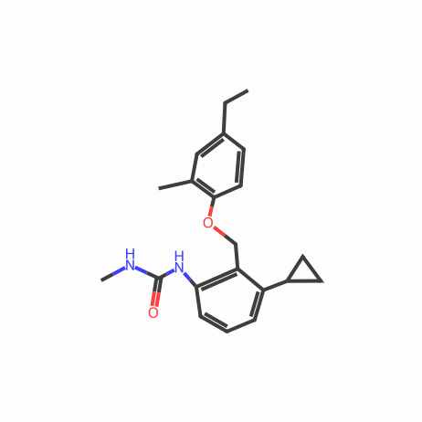 CCc1ccc(OCc2c(NC(=O)NC)cccc2C2CC2)c(C)c1